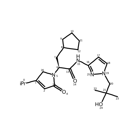 CC(C)C1=CC(=O)N([C@@H](CC2CCCC2)C(=O)Nc2ccn(CC(C)(C)O)n2)C1